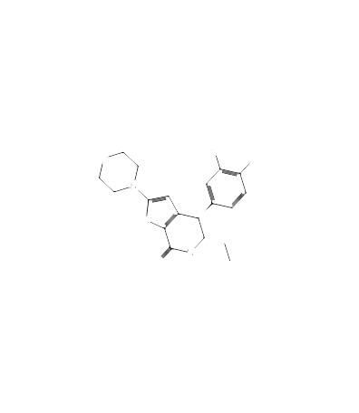 CC[C@@H]1NC(=O)c2sc(N3CCOCC3)cc2[C@H]1c1ccc(Cl)c(Cl)c1